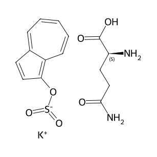 NC(=O)CC[C@H](N)C(=O)O.O=[S-](=O)Oc1ccc2cccccc1-2.[K+]